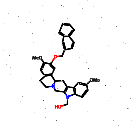 COc1ccc2c(c1)c1c(n2CO)CN2CCc3cc(OC)c(OCc4ccc5ccccc5c4)cc3C2C1